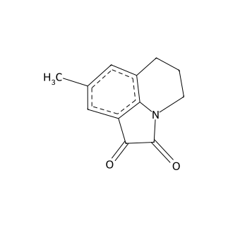 Cc1cc2c3c(c1)C(=O)C(=O)N3CCC2